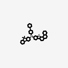 CC1(C)c2ccccc2-c2ccc(N(c3ccc(-c4ccccc4)cc3)c3ccc4c(c3)sc3c4ccc4ccc5ccccc5c43)cc21